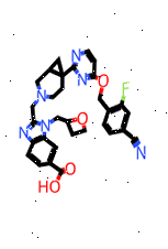 N#Cc1ccc(COc2ccnc(C34CCN(Cc5nc6ccc(C(=O)O)cc6n5CC5CCO5)CC3C4)n2)c(F)c1